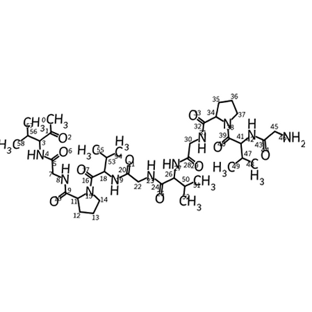 CC(=O)C(NC(=O)CNC(=O)C1CCCN1C(=O)C(NC(=O)CNC(=O)C(NC(=O)CNC(=O)C1CCCN1C(=O)C(NC(=O)CN)C(C)C)C(C)C)C(C)C)C(C)C